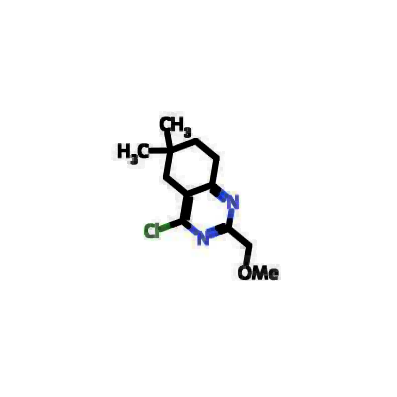 COCc1nc(Cl)c2c(n1)CCC(C)(C)C2